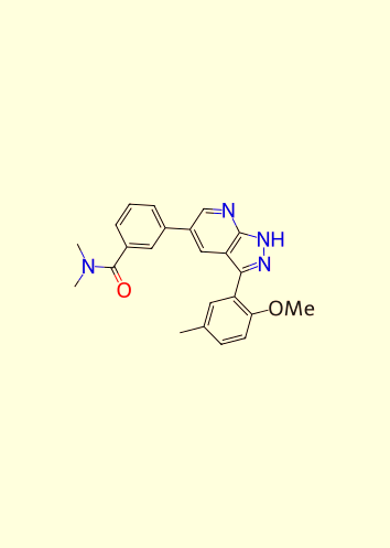 COc1ccc(C)cc1-c1n[nH]c2ncc(-c3cccc(C(=O)N(C)C)c3)cc12